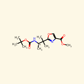 COC(=O)c1coc(C(C)(C)[C@@H](C)NC(=O)OC(C)(C)C)n1